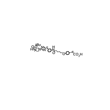 CC1(NC(=O)OC(C)(C)C)CCN(c2cnc(Sc3cccc(NC(=O)CCCCCOc4ccc(C5CC5C(=O)O)cc4)c3)cn2)CC1